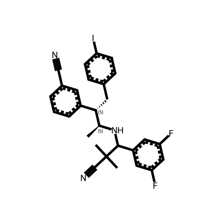 C[C@H](NC(c1cc(F)cc(F)c1)C(C)(C)C#N)[C@@H](Cc1ccc(I)cc1)c1cccc(C#N)c1